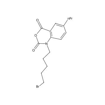 CCCc1ccc2c(c1)c(=O)oc(=O)n2CCCCCBr